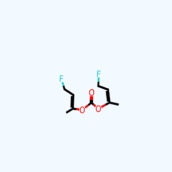 CC(=CCF)OC(=O)OC(C)=CCF